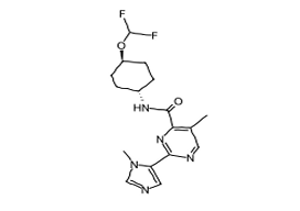 Cc1cnc(-c2cncn2C)nc1C(=O)N[C@H]1CC[C@H](OC(F)F)CC1